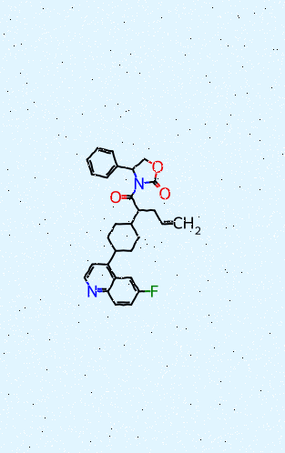 C=CCC(C(=O)N1C(=O)OCC1c1ccccc1)C1CCC(c2ccnc3ccc(F)cc23)CC1